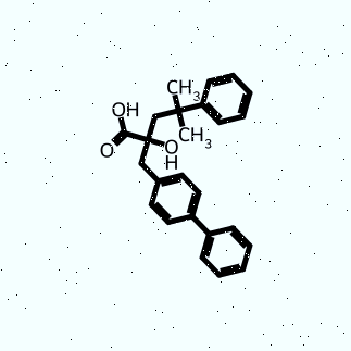 CC(C)(CC(O)(Cc1ccc(-c2ccccc2)cc1)C(=O)O)c1ccccc1